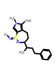 CC/N=S1/NC(C(C)CCc2ccccc2)CCc2c1cn(C)c2C=O